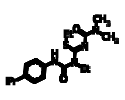 CCSC(=NC(=O)N(C)C)N(CC)C(=O)Nc1ccc(C(C)C)cc1